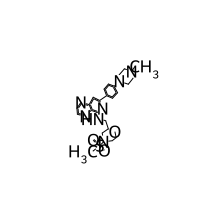 CN1CCN(c2ccc(-c3cc4nccnc4c(NCC4CN(S(C)(=O)=O)CCO4)n3)cc2)CC1